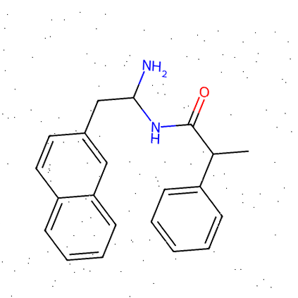 CC(C(=O)NC(N)Cc1ccc2ccccc2c1)c1ccccc1